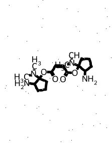 CN(C)C1(OC(=O)/C=C\C(=O)OC2(N(C)C)CCCC2N)CCCC1N